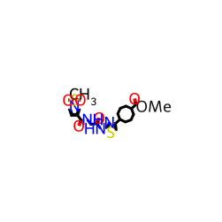 COC(=O)C1CCCC(c2csc(NC(=O)CNC(=O)c3ccn(S(C)(=O)=O)c3)n2)CCC1